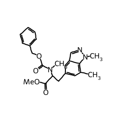 COC(=O)C(Cc1cc(C)c2c(cnn2C)c1)N(C)C(=O)OCc1ccccc1